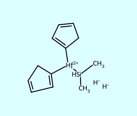 C[SiH](C)[Hf+2]([C]1=CC=CC1)[C]1=CC=CC1.[H-].[H-]